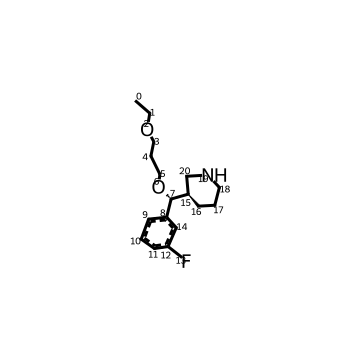 CCOCCCO[C@@H](c1cccc(F)c1)[C@@H]1CCCNC1